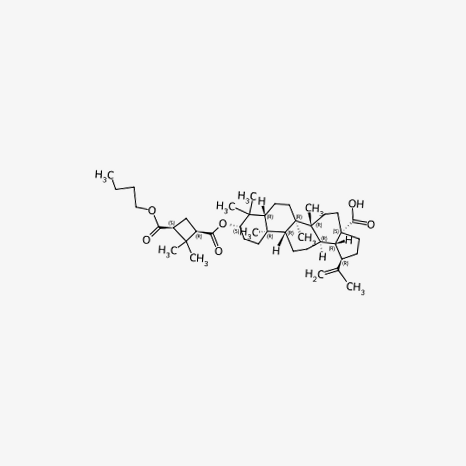 C=C(C)[C@@H]1CC[C@]2(C(=O)O)CC[C@]3(C)[C@H](CC[C@@H]4[C@@]5(C)CC[C@H](OC(=O)[C@@H]6C[C@H](C(=O)OCCCC)C6(C)C)C(C)(C)[C@@H]5CC[C@]43C)[C@@H]12